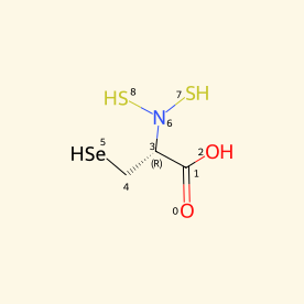 O=C(O)[C@H](C[SeH])N(S)S